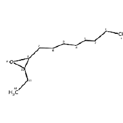 CCCCCCCCC1OC1CC